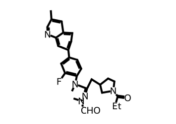 CCC(=O)N1CCC(C/C(=N/N(C)C=O)N(C)c2ccc(-c3ccc4cc(C)cnc4c3)cc2F)C1